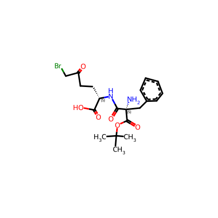 CC(C)(C)OC(=O)[C@](N)(Cc1ccccc1)C(=O)N[C@@H](CCC(=O)CBr)C(=O)O